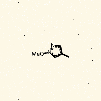 COn1cc(C)cn1